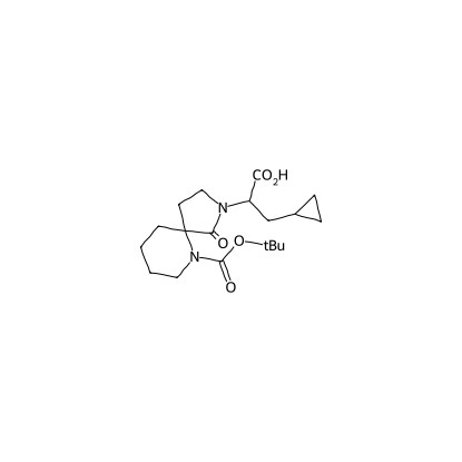 CC(C)(C)OC(=O)N1CCCCC12CCN(C(CC1CC1)C(=O)O)C2=O